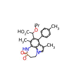 Cc1ccc(-c2c(C(OC(C)C)C(=O)O)c(C)c3c4c2c(C)cn4CCS(=O)(=O)N3)cc1